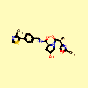 Cc1nc([C@@H](C(C)C)C(O)N2C[C@H](O)C[C@H]2C(=O)NCc2ccc(-c3scnc3C)cc2)co1